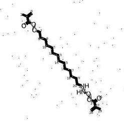 C=C(C)C(=O)OOCCCCCCCCCCCCCCNNOOC(=O)C(=C)C